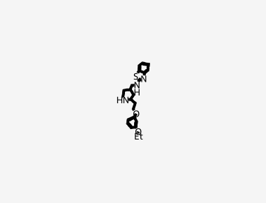 CCOc1cccc(OCCC2CC(CNc3nc4ccccc4s3)CCN2)c1